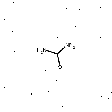 NC(N)[O]